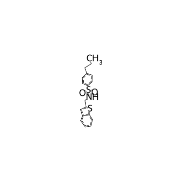 CCCc1ccc(S(=O)(=O)NCc2cc3ccccc3s2)cc1